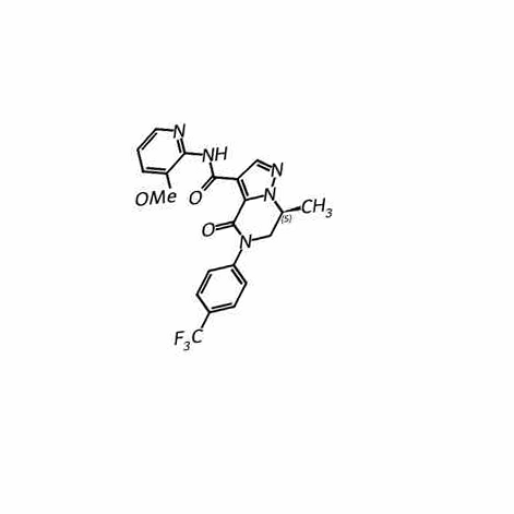 COc1cccnc1NC(=O)c1cnn2c1C(=O)N(c1ccc(C(F)(F)F)cc1)C[C@@H]2C